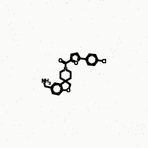 NCc1ccc2c(c1)C1(CCN(C(=O)c3ccc(-c4ccc(Cl)cc4)o3)CC1)CO2